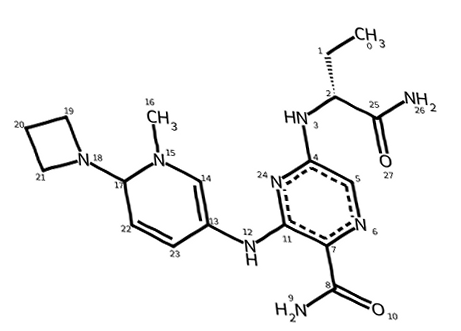 CC[C@@H](Nc1cnc(C(N)=O)c(NC2=CN(C)C(N3CCC3)C=C2)n1)C(N)=O